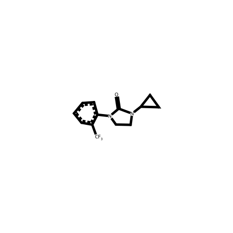 O=C1N(c2ccccc2C(F)(F)F)CCN1C1CC1